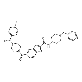 O=C(NC1CCN(Cc2ccncc2)CC1)c1cc2cc(C(=O)N3CCC(C(=O)c4ccc(F)cc4)CC3)ccc2o1